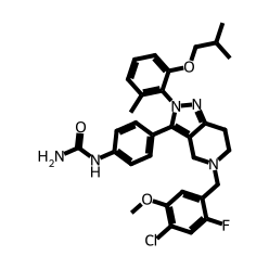 COc1cc(CN2CCc3nn(-c4c(C)cccc4OCC(C)C)c(-c4ccc(NC(N)=O)cc4)c3C2)c(F)cc1Cl